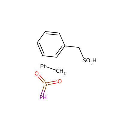 CCC.O=S(=O)(O)Cc1ccccc1.O=S(=O)=P